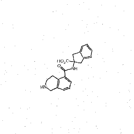 O=C(NC1(C(=O)O)Cc2ccccc2C1)c1cccc2c1CCNC2